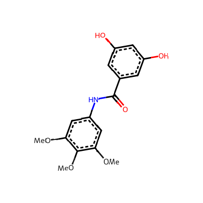 COc1cc(NC(=O)c2cc(O)cc(O)c2)cc(OC)c1OC